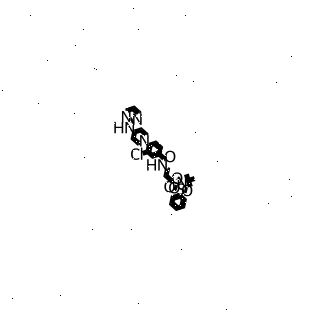 CC(C)(C)N(OC(=O)CCNC(=O)c1ccc(N2CCC(Nc3ncccn3)CC2)c(Cl)c1)S(=O)(=O)c1ccccc1